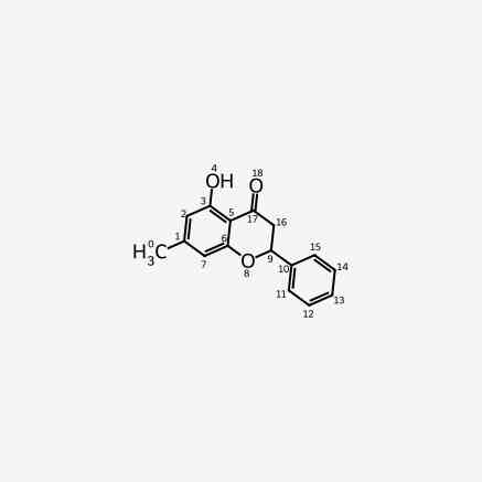 Cc1cc(O)c2c(c1)OC(c1ccccc1)CC2=O